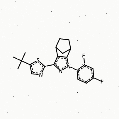 CC(C)(C)c1cnc(-c2nn(-c3ccc(F)cc3F)c3c2C2CCC3C2)s1